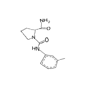 Cc1cccc(NC(=O)N2CCCC2C(N)=O)c1